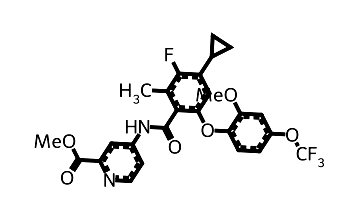 COC(=O)c1cc(NC(=O)c2c(Oc3ccc(OC(F)(F)F)cc3OC)cc(C3CC3)c(F)c2C)ccn1